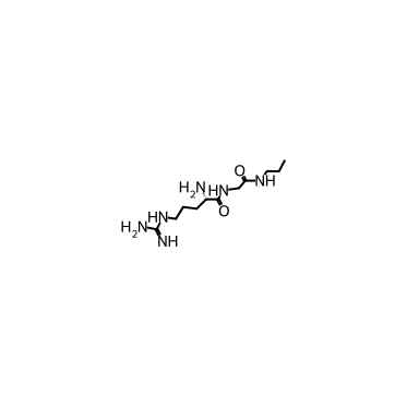 CCCNC(=O)CNC(=O)[C@@H](N)CCCNC(=N)N